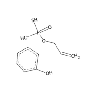 C=CCOP(=O)(O)S.Oc1ccccc1